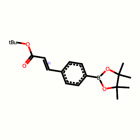 CC(C)(C)OC(=O)/C=C/c1ccc(B2OC(C)(C)C(C)(C)O2)cc1